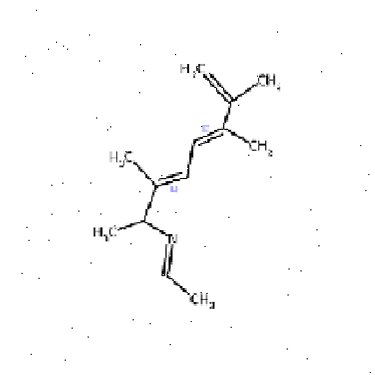 C=C(C)/C(C)=C/C=C(\C)C(C)N=CC